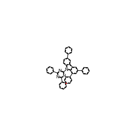 c1ccc(-c2ccc3c(c2)c2cc(-c4ccccc4)cc(-c4ccccc4)c2n3-c2nc(-c3ccccc3)nc(-c3ccccc3)n2)cc1